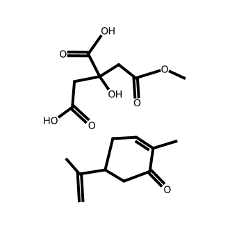 C=C(C)C1CC=C(C)C(=O)C1.COC(=O)CC(O)(CC(=O)O)C(=O)O